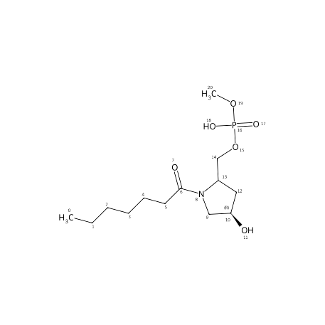 CCCCCCC(=O)N1C[C@H](O)CC1COP(=O)(O)OC